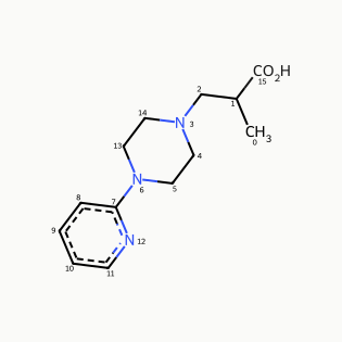 CC(CN1CCN(c2ccccn2)CC1)C(=O)O